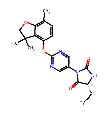 CC[C@H]1NC(=O)N(c2cnc(Oc3ccc(C)c4c3C(C)(C)CO4)nc2)C1=O